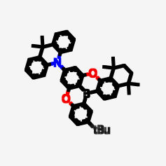 CC(C)(C)c1ccc2c(c1)B1c3ccc4c(c3Oc3cc(N5c6ccccc6C(C)(C)c6ccccc65)cc(c31)O2)C(C)(C)CCC4(C)C